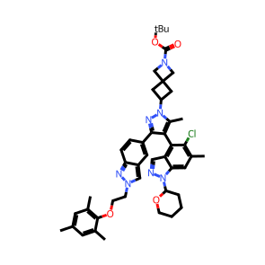 Cc1cc(C)c(OCCn2cc3cc(-c4nn(C5CC6(C5)CN(C(=O)OC(C)(C)C)C6)c(C)c4-c4c(Cl)c(C)cc5c4cnn5C4CCCCO4)ccc3n2)c(C)c1